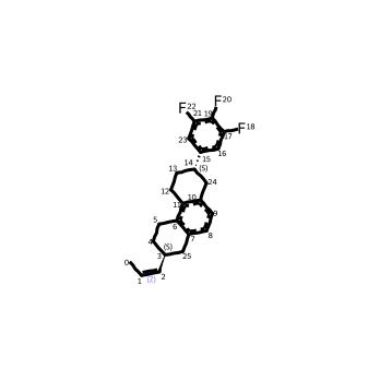 C/C=C\[C@H]1CCc2c(ccc3c2CC[C@H](c2cc(F)c(F)c(F)c2)C3)C1